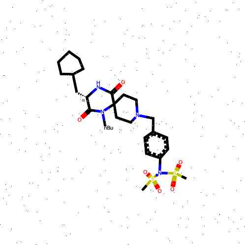 CCCCN1C(=O)[C@H](CC2CCCCC2)NC(=O)C12CCN(Cc1ccc(N(S(C)(=O)=O)S(C)(=O)=O)cc1)CC2